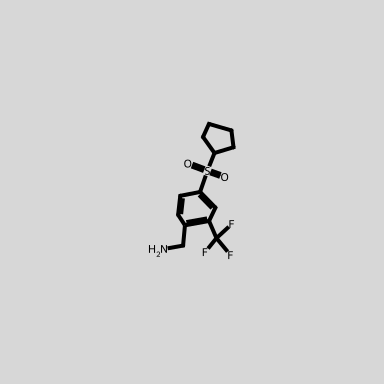 NCc1ccc(S(=O)(=O)C2CCCC2)cc1C(F)(F)F